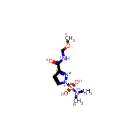 COCNC(=O)c1ccn(S(=O)(=O)N(C)C)n1